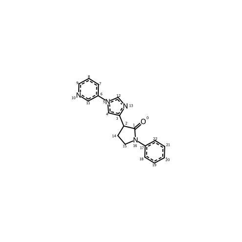 O=C1C(c2cn(-c3cccnc3)cn2)CCN1c1cc[c]cc1